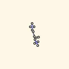 C1=CCC(N2c3ccccc3N(c3ccc4c(c3)C3(Cc5ccccc5C3)c3cc(/C=C/c5ccc6cc(N7c8ccccc8N(c8ccccc8)c8ccccc87)ccc6c5)ccc3-4)c3ccccc32)C=C1